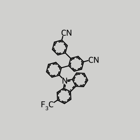 N#Cc1cccc(-c2cc(C#N)ccc2-c2ccccc2-n2c3ccccc3c3ccc(C(F)(F)F)cc32)c1